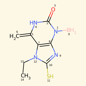 BN1C(=O)NC(=C)c2c1nc(S)n2CC